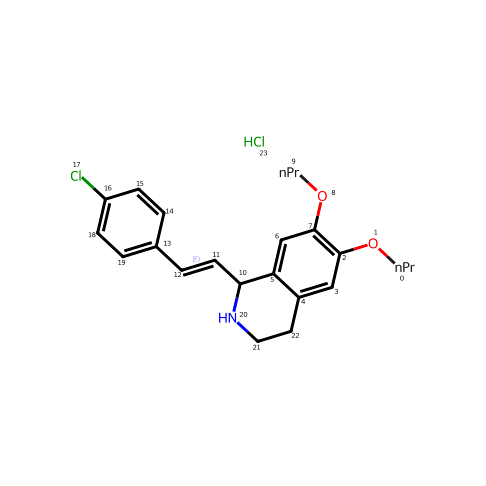 CCCOc1cc2c(cc1OCCC)C(/C=C/c1ccc(Cl)cc1)NCC2.Cl